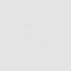 CCNCCNC(CC)(CC)CN